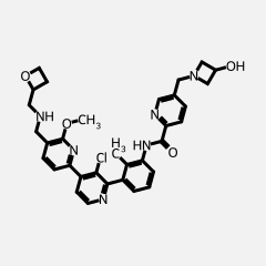 COc1nc(-c2ccnc(-c3cccc(NC(=O)c4ccc(CN5CC(O)C5)cn4)c3C)c2Cl)ccc1CNCC1CCO1